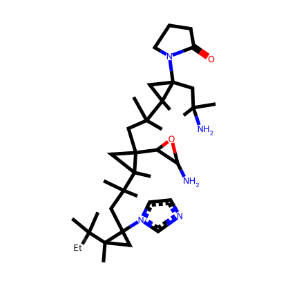 CCC(C)(C)C1(C)CC1(CC(C)(C)C1(C)CC1(CC(C)(C)C1(C)CC1(CC(C)(C)N)N1CCCC1=O)C1OC1N)n1ccnc1